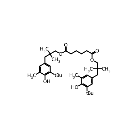 Cc1cc(CC(C)(C)COC(=O)CCCCC(=O)OCC(C)(C)Cc2cc(C)c(O)c(C(C)(C)C)c2)cc(C(C)(C)C)c1O